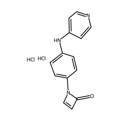 Cl.Cl.O=C1C=CN1c1ccc(Nc2ccncc2)cc1